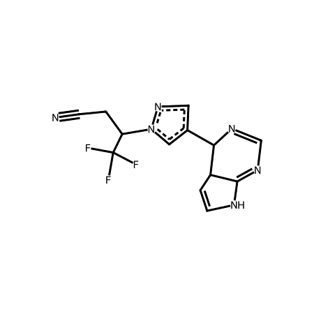 N#CCC(n1cc(C2N=CN=C3NC=CC32)cn1)C(F)(F)F